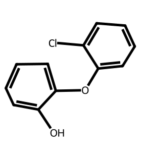 Oc1ccccc1Oc1ccccc1Cl